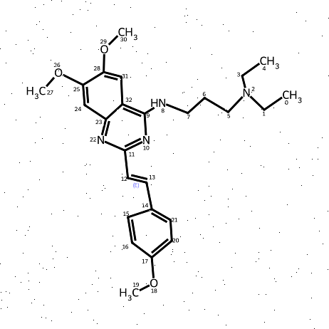 CCN(CC)CCCNc1nc(/C=C/c2ccc(OC)cc2)nc2cc(OC)c(OC)cc12